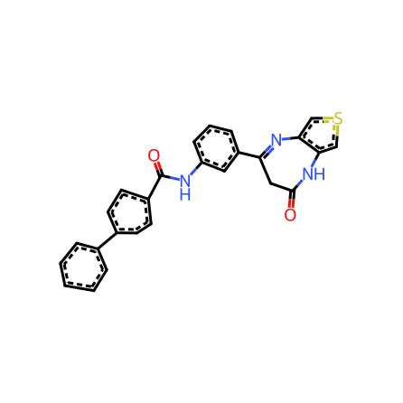 O=C1CC(c2cccc(NC(=O)c3ccc(-c4ccccc4)cc3)c2)=Nc2cscc2N1